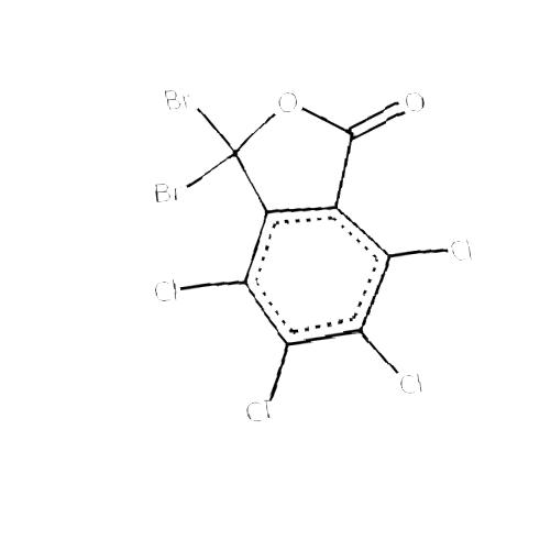 O=C1OC(Br)(Br)c2c(Cl)c(Cl)c(Cl)c(Cl)c21